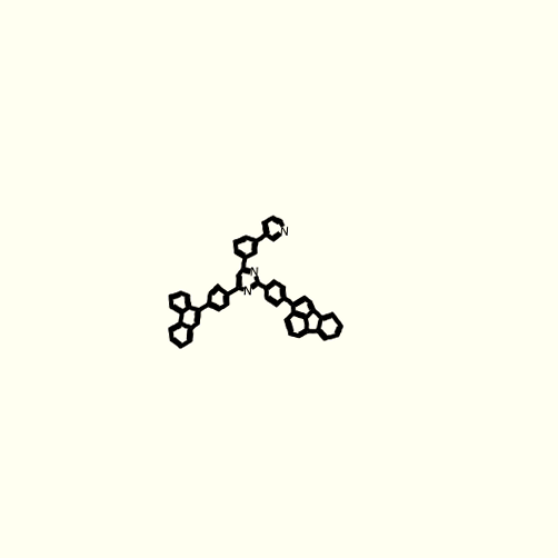 c1cncc(-c2cccc(-c3cc(-c4ccc(-c5cc6ccccc6c6ccccc56)cc4)nc(-c4ccc(-c5ccc6c7c(cccc57)-c5ccccc5-6)cc4)n3)c2)c1